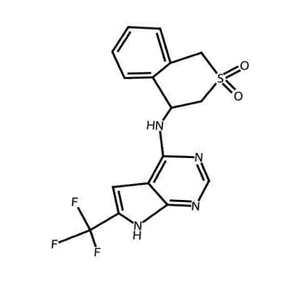 O=S1(=O)Cc2ccccc2C(Nc2ncnc3[nH]c(C(F)(F)F)cc23)C1